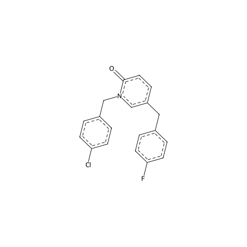 O=c1ccc(Cc2ccc(F)cc2)cn1Cc1ccc(Cl)cc1